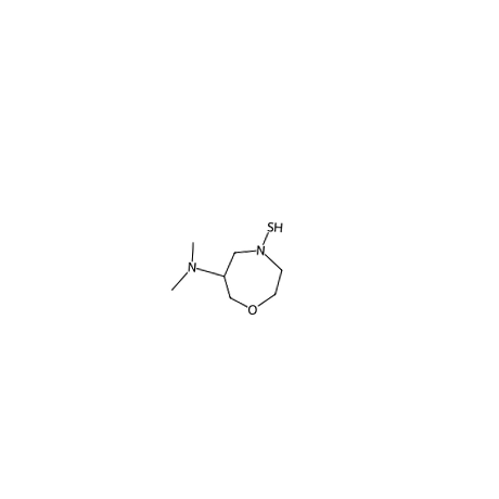 CN(C)C1COCCN(S)C1